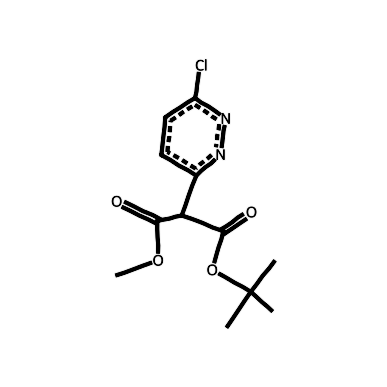 COC(=O)C(C(=O)OC(C)(C)C)c1ccc(Cl)nn1